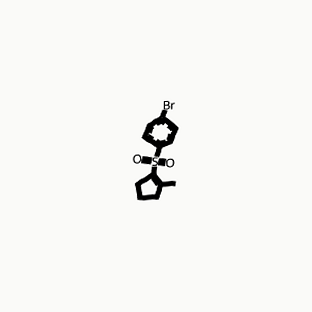 CC1=C(S(=O)(=O)c2ccc(Br)cc2)CCC1